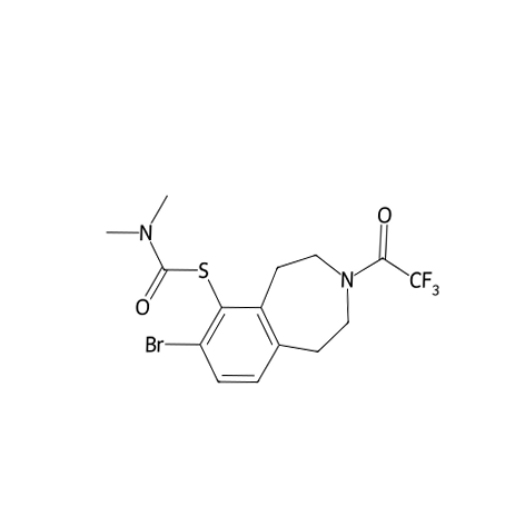 CN(C)C(=O)Sc1c(Br)ccc2c1CCN(C(=O)C(F)(F)F)CC2